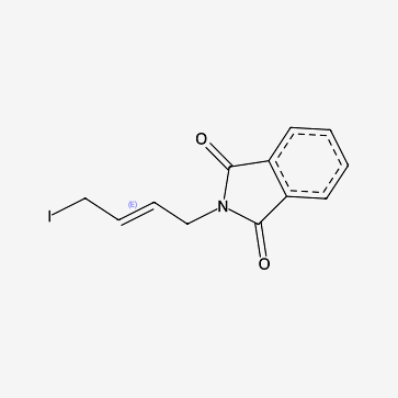 O=C1c2ccccc2C(=O)N1C/C=C/CI